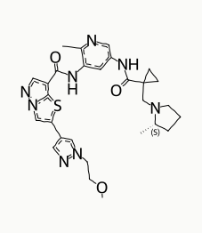 COCCn1cc(-c2cn3ncc(C(=O)Nc4cc(NC(=O)C5(CN6CCC[C@@H]6C)CC5)cnc4C)c3s2)cn1